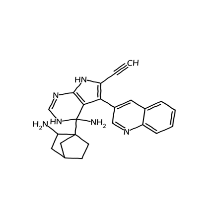 C#Cc1[nH]c2c(c1-c1cnc3ccccc3c1)C(N)(C13CCC(CC1N)C3)NC=N2